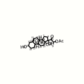 CC(=O)OCC(=O)[C@@]1(O)CC[C@H]2[C@@H]3CC=C4C[C@@H](O)CC[C@]4(C)[C@H]3CC[C@@]21C